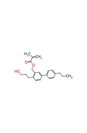 C=C(C)C(=O)OCc1cc(-c2ccc(CCC)cc2)ccc1CCCO